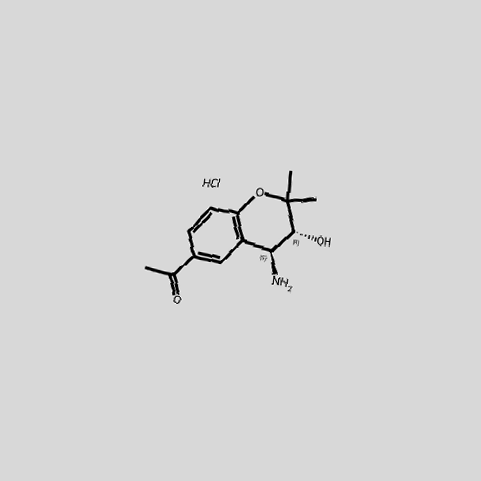 CC(=O)c1ccc2c(c1)[C@H](N)[C@@H](O)C(C)(C)O2.Cl